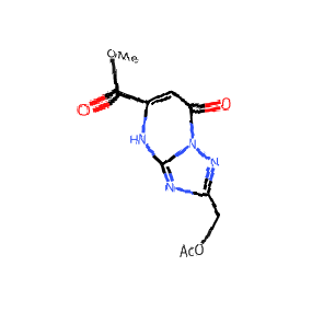 COC(=O)c1cc(=O)n2nc(COC(C)=O)nc2[nH]1